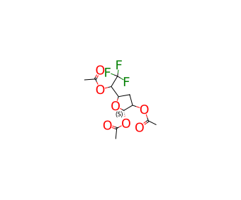 CC(=O)OC1CC(C(OC(C)=O)C(F)(F)F)O[C@H]1OC(C)=O